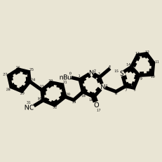 CCCCc1nc(C)n(Cc2cc3ccccc3s2)c(=O)c1Cc1ccc(-c2ccccc2)c(C#N)c1